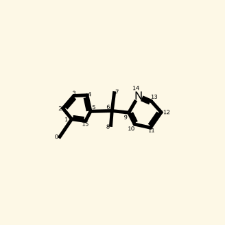 Cc1cccc(C(C)(C)c2ccccn2)c1